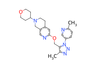 Cc1ccc(-n2nnc(C)c2COc2cc3c(cn2)CN(C2CCOCC2)CC3)cn1